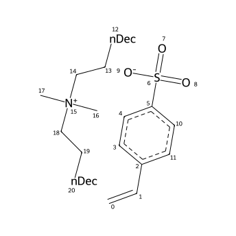 C=Cc1ccc(S(=O)(=O)[O-])cc1.CCCCCCCCCCCC[N+](C)(C)CCCCCCCCCCCC